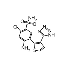 Nc1cc(Cl)c(S(N)(=O)=O)cc1-c1sccc1-c1nnn[nH]1